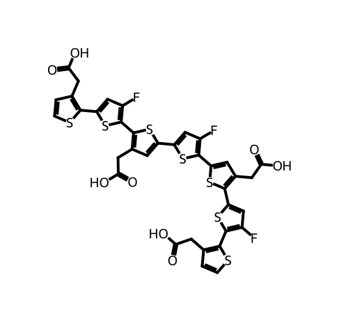 O=C(O)Cc1ccsc1-c1cc(F)c(-c2sc(-c3cc(F)c(-c4cc(CC(=O)O)c(-c5cc(F)c(-c6sccc6CC(=O)O)s5)s4)s3)cc2CC(=O)O)s1